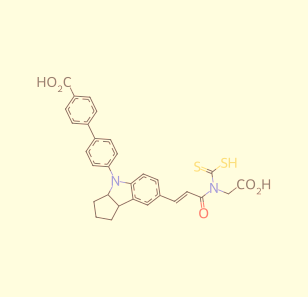 O=C(O)CN(C(=O)/C=C/c1ccc2c(c1)C1CCCC1N2c1ccc(-c2ccc(C(=O)O)cc2)cc1)C(=S)S